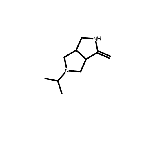 C=C1NCC2CN(C(C)C)CC12